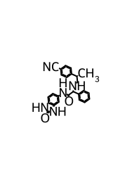 C[C@H](CNC(C(=O)Nc1ccc2[nH]c(=O)[nH]c2c1)c1ccccc1)c1ccc(C#N)cc1